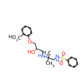 CC(C)(CNS(=O)(=O)c1ccccc1)NCC(O)COc1ccccc1C(=O)O